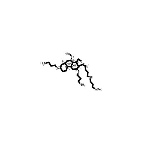 CCCCCCCCCCCCCNCCC[C@@H](C)[C@H]1CC[C@H]2[C@@H]3[C@H](OCCCC)C[C@@H]4C[C@H](OCCCN)CC[C@]4(C)[C@H]3C[C@H](OCCCN)[C@]12C